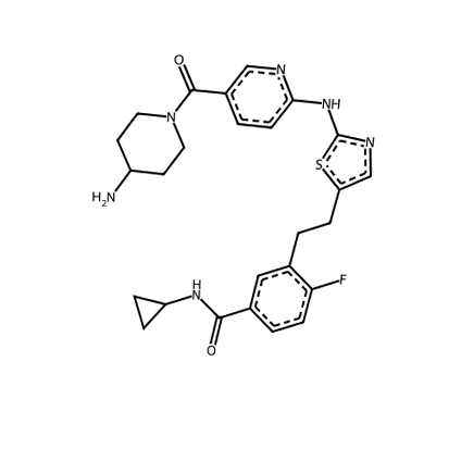 NC1CCN(C(=O)c2ccc(Nc3ncc(CCc4cc(C(=O)NC5CC5)ccc4F)s3)nc2)CC1